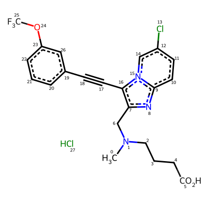 CN(CCCC(=O)O)Cc1nc2ccc(Cl)cn2c1C#Cc1cccc(OC(F)(F)F)c1.Cl